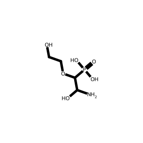 NC(O)C(OCCO)P(=O)(O)O